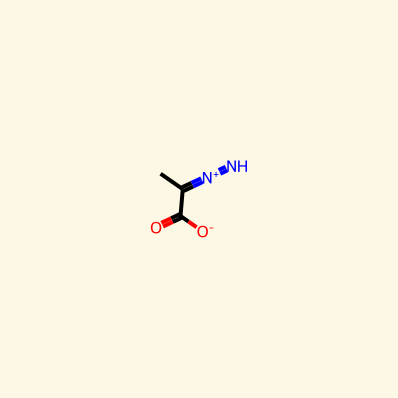 CC(=[N+]=N)C(=O)[O-]